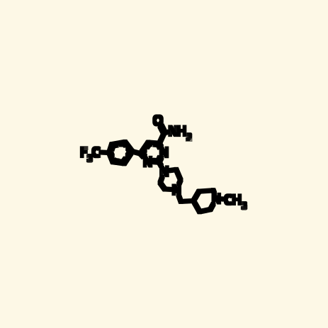 CN1CCC(CN2CCN(c3nc(C(N)=O)cc(-c4ccc(C(F)(F)F)cc4)n3)CC2)CC1